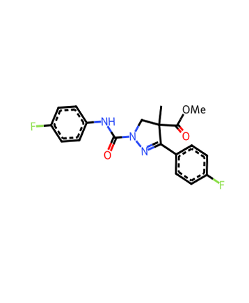 COC(=O)C1(C)CN(C(=O)Nc2ccc(F)cc2)N=C1c1ccc(F)cc1